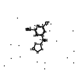 CC(C)(C)c1nc(Cl)cc(NC2CCOC2)n1